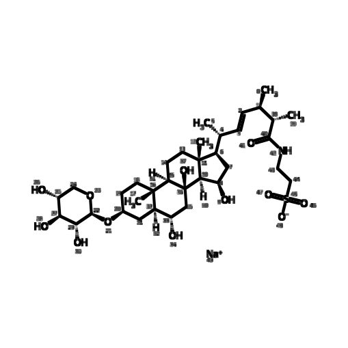 C[C@H](/C=C/[C@@H](C)[C@H]1C[C@@H](O)[C@@H]2[C@]1(C)CC[C@@H]1[C@@]3(C)CC[C@H](O[C@@H]4OC[C@@H](O)[C@H](O)[C@H]4O)C[C@@H]3[C@@H](O)C[C@]12O)[C@H](C)C(=O)NCCS(=O)(=O)[O-].[Na+]